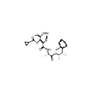 C=N/C(C(=O)N[C@@H](C)C(=O)O[C@@H](C)[C@@H](C)c1ccccc1C)=C(OC(=O)C1CC1)\C(=C/C)OC